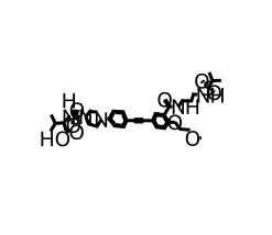 COCCOc1ccc(C#Cc2ccc(N3CCN(S(=O)(=O)NC(C(=O)O)C(C)C)CC3)cc2)cc1C(=O)NCCCNS(=O)(=O)C(C)C